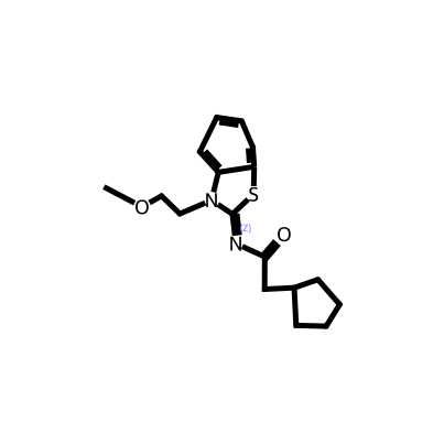 COCCn1/c(=N/C(=O)CC2CCCC2)sc2ccccc21